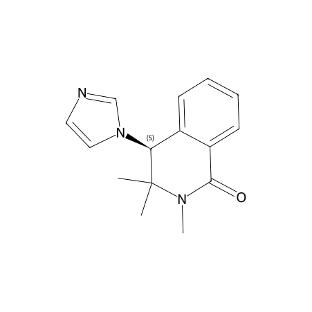 CN1C(=O)c2ccccc2[C@H](n2ccnc2)C1(C)C